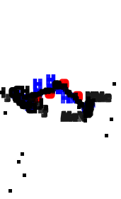 CNCc1ccc2cc3ccc(CNC)cc3[n+](CCCCCC(=O)NCCCCCNC(=O)c3cccc(CNC(=O)CCCCNC(=O)CCCCC[n+]4c5cc(N(C)C)ccc5cc5ccc(N(C)C)cc54)c3)c2c1